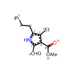 CCc1c(CCC(C)C)[nH]c(C=O)c1C(=O)OC